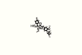 CC/N=C1\N/C(=C\c2ccc(-n3cnc(C)c3)c(OC)c2)C(=O)N1[C@@H](CO)c1ccc(F)cc1